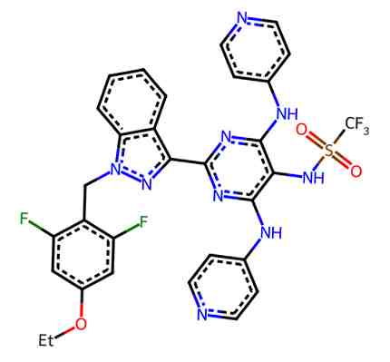 CCOc1cc(F)c(Cn2nc(-c3nc(Nc4ccncc4)c(NS(=O)(=O)C(F)(F)F)c(Nc4ccncc4)n3)c3ccccc32)c(F)c1